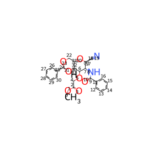 COC(=O)COC1C(NC(=O)c2ccccc2)[C@H](C#N)OC2COC(c3ccccc3)O[C@@H]21